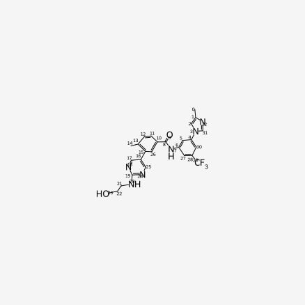 Cc1cn(-c2cc(NC(=O)c3ccc(C)c(-c4cnc(NCCO)nc4)c3)cc(C(F)(F)F)c2)cn1